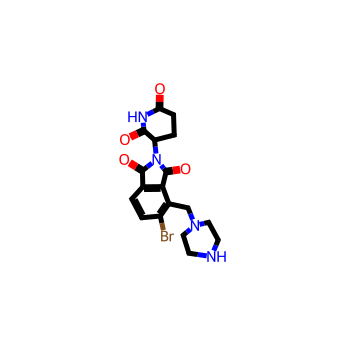 O=C1CCC(N2C(=O)c3ccc(Br)c(CN4CCNCC4)c3C2=O)C(=O)N1